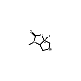 CN1C(=O)O[C@@H]2CNCC21